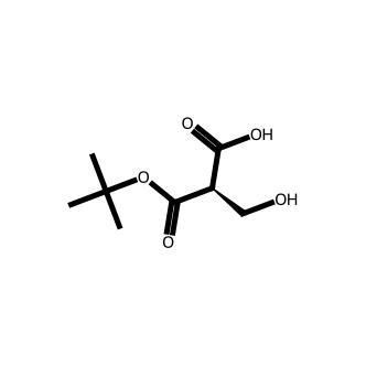 CC(C)(C)OC(=O)[C@H](CO)C(=O)O